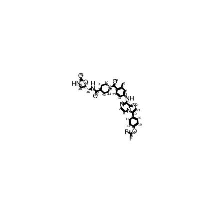 Cc1cc(Nc2nccn3c(-c4ccc(OC(F)F)cc4)cnc23)ccc1C(=O)N1CCC(C(=O)NC[C@@H]2CNC(=O)O2)CC1